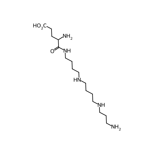 NCCCNCCCCNCCCCNC(=O)C(N)CCC(=O)O